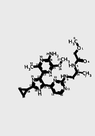 COCC(=O)N[C@@H](C)CNc1nccc(-c2[nH]c(C3CC3)nc2-c2nc(OC)c(N)nc2C)n1